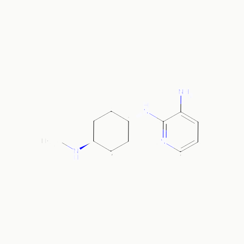 Nc1cccnc1N[C@H]1CC[C@H](NC(=O)O)CC1